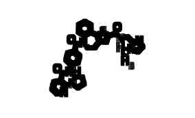 Cn1ccnc1CNC(=O)c1cc2c(s1)-c1ccccc1N(C(=O)c1ccc(NC(=O)c3cccnc3N3CCCC3)cc1)CC2